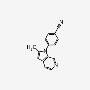 Cc1cc2ccncc2n1-c1ccc(C#N)cc1